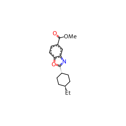 CC[C@H]1CC[C@H](c2nc3cc(C(=O)OC)ccc3o2)CC1